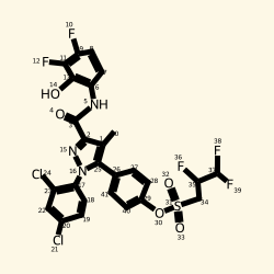 Cc1c(C(=O)Nc2ccc(F)c(F)c2O)nn(-c2ccc(Cl)cc2Cl)c1-c1ccc(OS(=O)(=O)CC(F)C(F)F)cc1